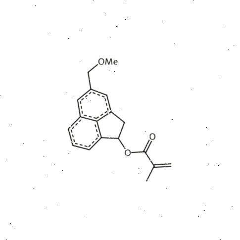 C=C(C)C(=O)OC1Cc2cc(COC)cc3cccc1c23